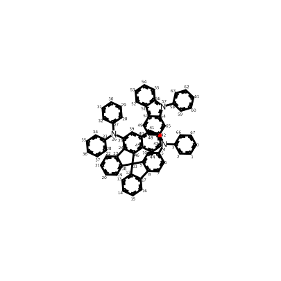 c1ccc(N(c2ccc3c(c2)C2(c4ccccc4-3)c3ccccc3-c3c(N(c4ccccc4)c4ccccc4)cc4ccccc4c32)c2ccc3c4ccccc4n(-c4ccccc4)c3c2)cc1